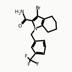 NC(=O)c1c(Br)c2c(n1Cc1cccc(C(F)(F)F)c1)CCCC2